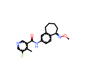 CON=C1CCCCc2cc(NC(=O)c3cncc(F)c3C)ccc21